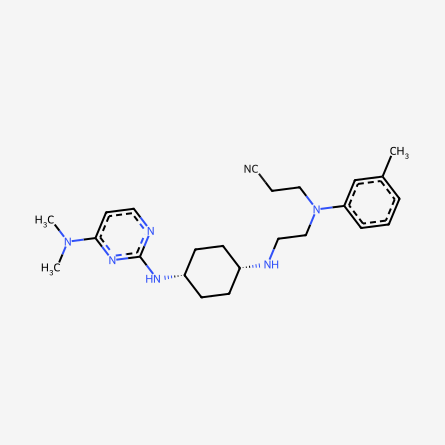 Cc1cccc(N(CCC#N)CCN[C@H]2CC[C@@H](Nc3nccc(N(C)C)n3)CC2)c1